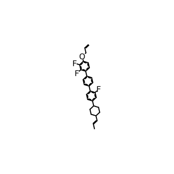 C=CCOc1ccc(-c2ccc(-c3ccc(C4CCC(/C=C/C)CC4)cc3F)cc2)c(F)c1F